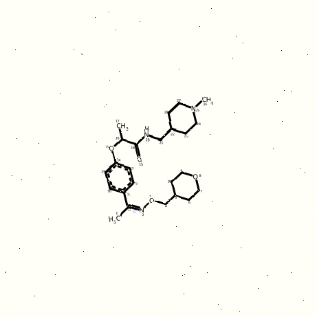 C/C(=N/OCC1CCOCC1)c1ccc(OC(C)C(=O)NCC2CCN(C)CC2)cc1